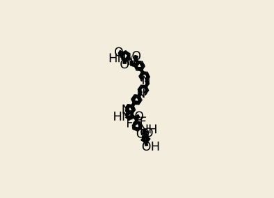 O=C1CC[C@H](N2Cc3cc(C4CCN(CC5CCN(c6ccc(-c7cnc8[nH]cc(C(=O)c9c(F)ccc(NS(=O)(=O)N%10CC(O)C%10)c9F)c8c7)cc6)CC5)CC4)ccc3C2=O)C(=O)N1